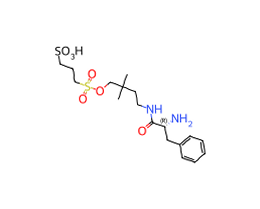 CC(C)(CCNC(=O)[C@H](N)Cc1ccccc1)COS(=O)(=O)CCCS(=O)(=O)O